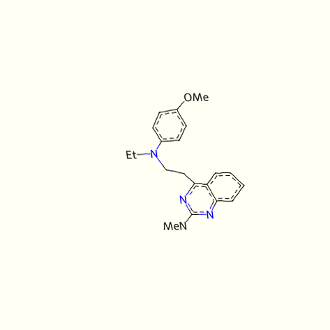 CCN(CCc1nc(NC)nc2ccccc12)c1ccc(OC)cc1